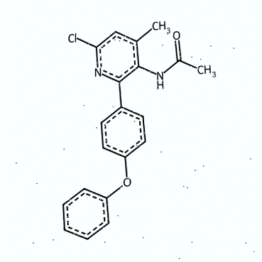 CC(=O)Nc1c(C)cc(Cl)nc1-c1ccc(Oc2ccccc2)cc1